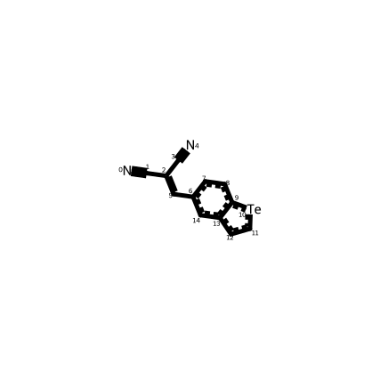 N#CC(C#N)=Cc1ccc2[te]ccc2c1